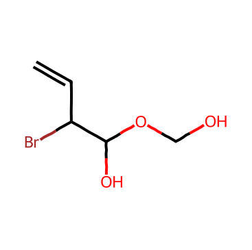 C=CC(Br)C(O)OCO